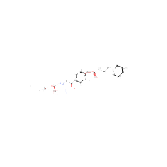 CC(C)(C)OC(=O)CNCC(O)c1ccc(OC(=O)CCCc2ccccc2)cc1